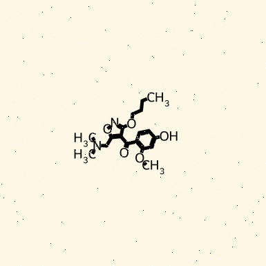 CCCCOc1noc(CN(C)C)c1C(=O)c1ccc(O)cc1OC